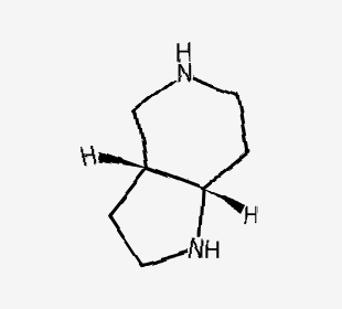 C1C[C@@H]2NCC[C@@H]2CN1